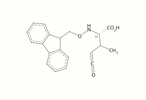 CC(C=C=O)[C@H](NOCC1c2ccccc2-c2ccccc21)C(=O)O